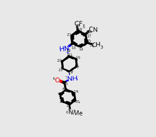 CNc1ccc(C(=O)N[C@H]2CC[C@@H](Nc3cc(C)c(C#N)c(C(F)(F)F)c3)CC2)cc1